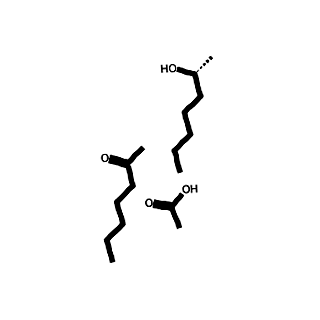 CC(=O)O.CCCCCC(C)=O.CCCCC[C@@H](C)O